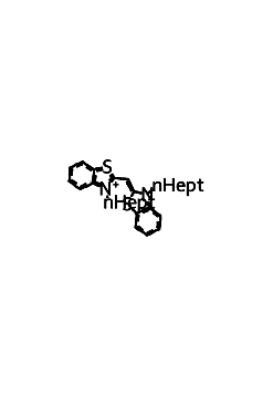 CCCCCCCN1/C(=C/c2sc3ccccc3[n+]2CCCCCCC)Sc2ccccc21